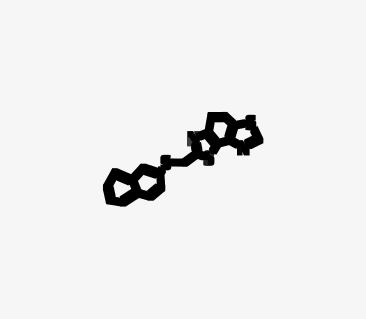 c1ccc2cc(SCc3nc4ccc5scnc5c4s3)ccc2c1